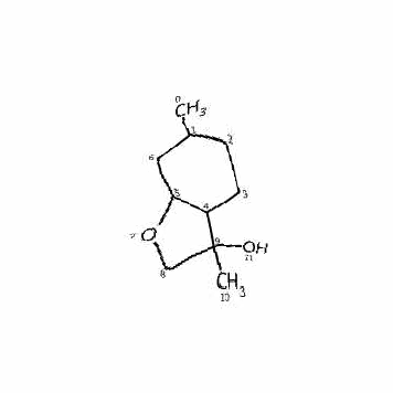 CC1CCC2C(C1)OCC2(C)O